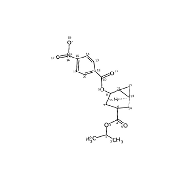 CC(C)OC(=O)C1CC(OC(=O)c2ccc([N+](=O)[O-])cc2)C2C[C@H]2C1